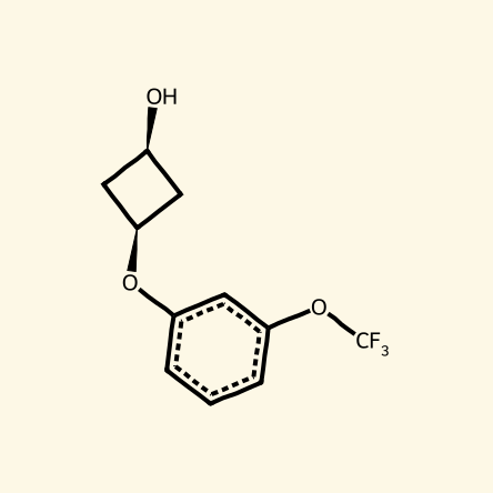 O[C@H]1C[C@@H](Oc2cccc(OC(F)(F)F)c2)C1